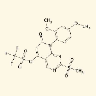 COc1ccc(-n2c(=O)cc(OS(=O)(=O)C(F)(F)F)c3cnc(S(C)(=O)=O)nc32)c(OC)c1